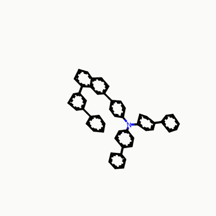 c1ccc(-c2ccc(N(c3ccc(-c4ccccc4)cc3)c3ccc(-c4ccc5cccc(-c6cccc(-c7ccccc7)c6)c5c4)cc3)cc2)cc1